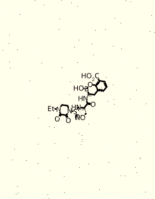 CCN1CCN([S+]([O-])N[C@@H](CO)C(=O)N[C@H]2Cc3cccc(C(=O)O)c3OB2O)C(=O)C1=O